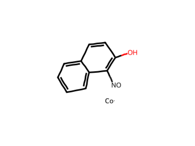 O=Nc1c(O)ccc2ccccc12.[Co]